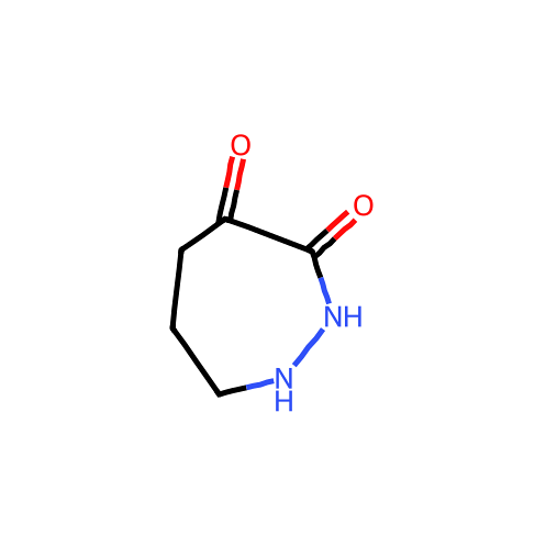 O=C1CCCNNC1=O